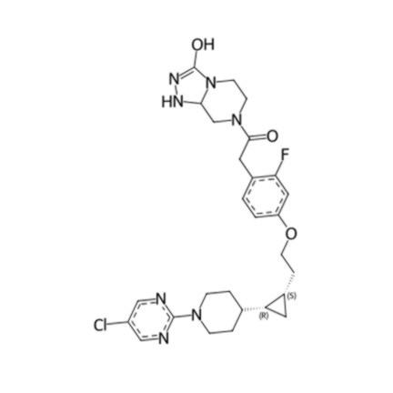 O=C(Cc1ccc(OCC[C@@H]2C[C@@H]2C2CCN(c3ncc(Cl)cn3)CC2)cc1F)N1CCN2C(O)=NNC2C1